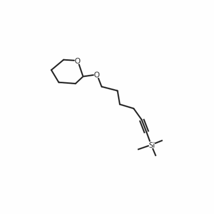 C[Si](C)(C)C#CCCCCOC1CCCCO1